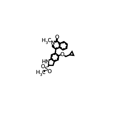 Cn1cc(-c2cc3c(cc2OCC2CC2)CC(S(C)(=O)=O)N3)c2ccccc2c1=O